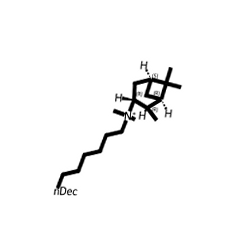 CCCCCCCCCCCCCCCC[N+](C)(C)[C@@H]1C[C@@H]2C[C@H]([C@H]1C)C2(C)C